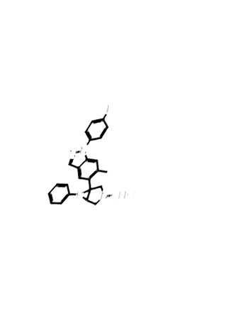 Cc1cc2c(cnn2-c2ccc(F)cc2)cc1C12CN(C=O)CC1P2c1ccccc1